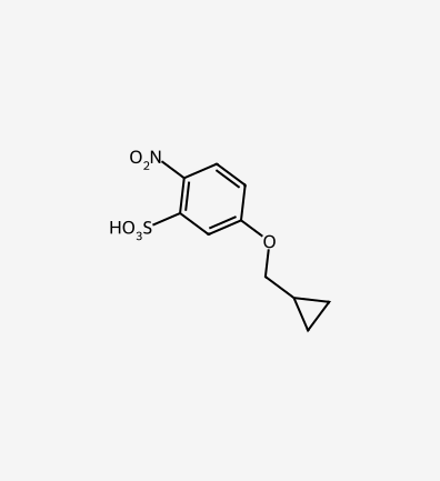 O=[N+]([O-])c1ccc(OCC2CC2)cc1S(=O)(=O)O